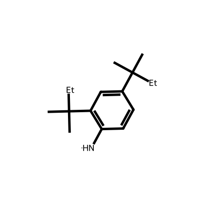 CCC(C)(C)c1ccc([NH])c(C(C)(C)CC)c1